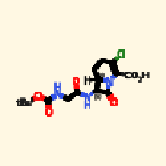 CC(C)(C)OC(=O)NCC(=O)N[C@@H]1C(=O)N2C(C(=O)O)=C(Cl)CC[C@@H]12